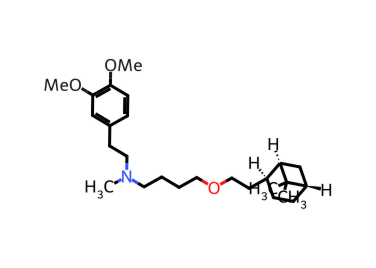 COc1ccc(CCN(C)CCCCOCC[C@@H]2CC[C@H]3C[C@H]2C3(C)C)cc1OC